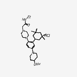 CCNC(=O)CN1CCN(c2ccc(N3CCC(OC)CC3)cc2C2CC(C)(C)CC(C)(C)C2)CC1.Cl